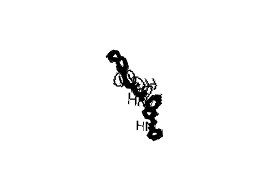 O=C(C[C@H](O)CS(=O)(=O)c1ccc2ccccc2c1)N[C@@H]1CCCc2cc(CNC3CCCC3)ccc21